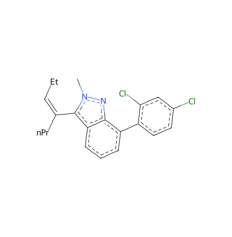 CC/C=C(/CCC)c1c2cccc(-c3ccc(Cl)cc3Cl)c2nn1C